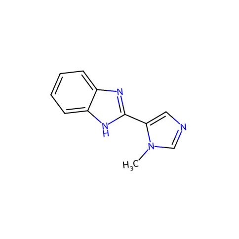 Cn1cncc1-c1nc2ccccc2[nH]1